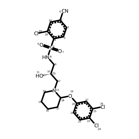 N#Cc1ccc(S(=O)(=O)NC[C@@H](O)CN2CCCCC2Oc2ccc(Cl)c(Cl)c2)c(Cl)c1